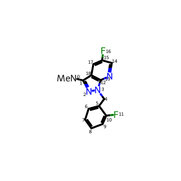 CNc1nn(Cc2ccccc2F)c2ncc(F)cc12